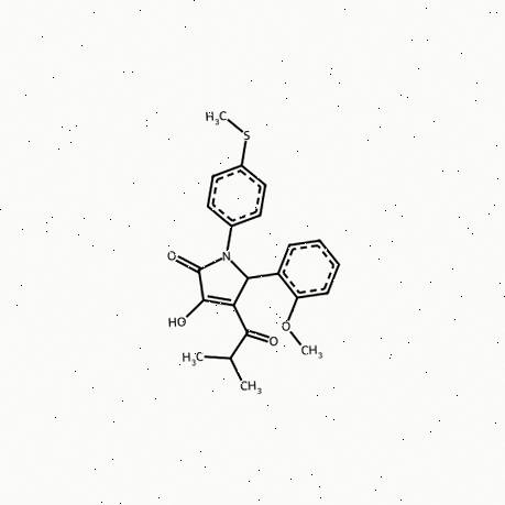 COc1ccccc1C1C(C(=O)C(C)C)=C(O)C(=O)N1c1ccc(SC)cc1